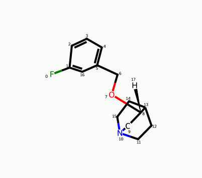 Fc1cccc(CO[C@H]2CN3CCC2CC3)c1